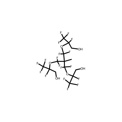 CC(C(F)(F)OC(F)(CO)C(F)(F)F)(C(F)(F)OC(F)(CO)C(F)(F)F)C(F)(F)OC(F)(CO)C(F)(F)F